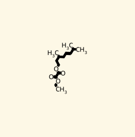 CCOC(=O)C(=O)OCCC(C)CC=CC(C)C